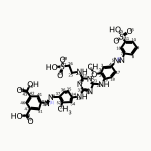 COc1cc(/N=N/c2cccc(S(=O)(=O)O)c2)ccc1Nc1nc(NCCS(=O)(=O)O)nc(Nc2ccc(/N=N/c3cc(C(=O)O)cc(C(=O)O)c3)c(C)c2)n1